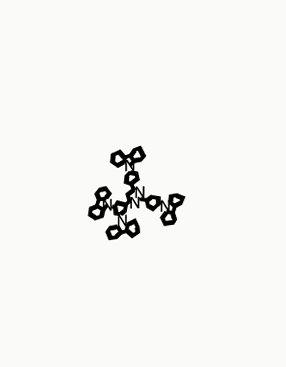 c1ccc2c(c1)c1ccccc1n2-c1ccc(-c2cc(-c3cc(-n4c5ccccc5c5ccccc54)cc(-n4c5ccccc5c5ccccc54)c3)nc(-c3ccc(-n4c5ccccc5c5ccccc54)cc3)n2)cc1